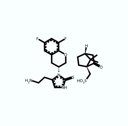 CC1(C)[C@@H]2CC[C@@]1(CS(=O)(=O)O)C(=O)C2.NCCc1c[nH]c(=S)n1[C@H]1COc2c(F)cc(F)cc2C1